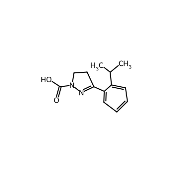 CC(C)c1ccccc1C1=NN(C(=O)O)CC1